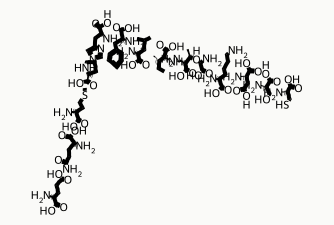 CC(C)C[C@H](N)C(=O)O.CC[C@H](C)[C@H](N)C(=O)O.CSCC[C@H](N)C(=O)O.C[C@@H](O)[C@H](N)C(=O)O.NC(=O)CC[C@H](N)C(=O)O.NCC(=O)O.NCCCC[C@H](N)C(=O)O.N[C@@H](CC(=O)O)C(=O)O.N[C@@H](CCC(=O)O)C(=O)O.N[C@@H](CO)C(=O)O.N[C@@H](CS)C(=O)O.N[C@@H](Cc1c[nH]cn1)C(=O)O.N[C@@H](Cc1ccccc1)C(=O)O.O=C(O)[C@@H]1CCCN1